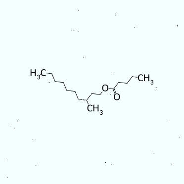 CCCCCCCC(C)CCOC(=O)CCCC